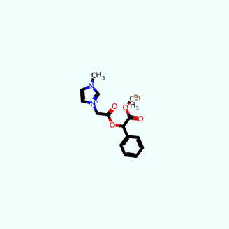 COC(=O)C(OC(=O)C[n+]1ccn(C)c1)c1ccccc1.[Br-]